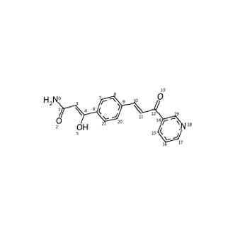 NC(=O)C=C(O)c1ccc(C=CC(=O)c2cccnc2)cc1